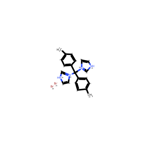 Cc1ccc(C(c2ccc(C)cc2)([n+]2cc[nH]c2)[n+]2cc[nH]c2)cc1.[Br-].[Br-]